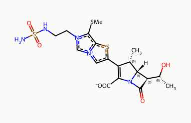 CSc1c2sc(C3=C(C(=O)[O-])N4C(=O)[C@H]([C@@H](C)O)[C@H]4[C@H]3C)c[n+]2cn1CCNS(N)(=O)=O